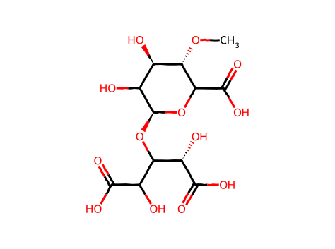 CO[C@@H]1C(C(=O)O)O[C@@H](OC(C(O)C(=O)O)[C@H](O)C(=O)O)C(O)[C@H]1O